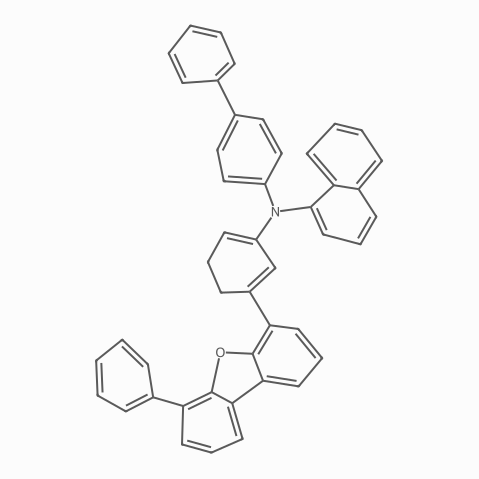 C1=C(c2cccc3c2oc2c(-c4ccccc4)cccc23)CCC=C1N(c1ccc(-c2ccccc2)cc1)c1cccc2ccccc12